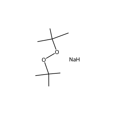 CC(C)(C)OOC(C)(C)C.[NaH]